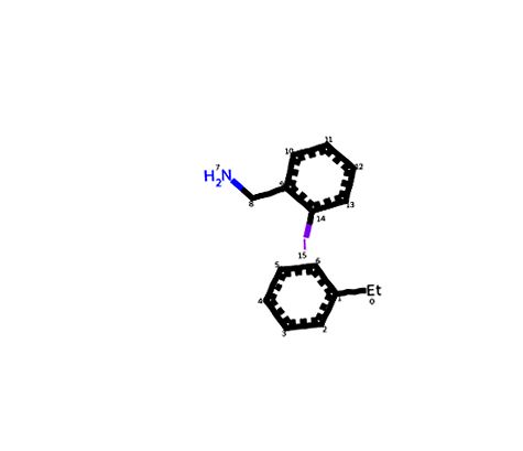 CCc1ccccc1.NCc1ccccc1I